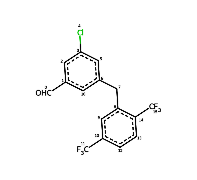 O=Cc1cc(Cl)cc(Cc2cc(C(F)(F)F)ccc2C(F)(F)F)c1